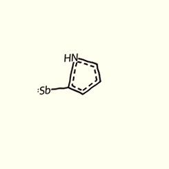 [Sb][c]1ccc[nH]1